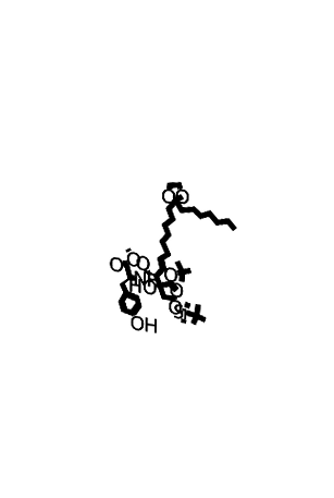 CCCCCCCC1(CCCCCC/C=C/[C@H](C(=O)N[C@@H](Cc2ccc(O)cc2)C(=O)OC)[C@@](O)(CCO[Si](C)(C)C(C)(C)C)C(=O)OC(C)(C)C)OCCO1